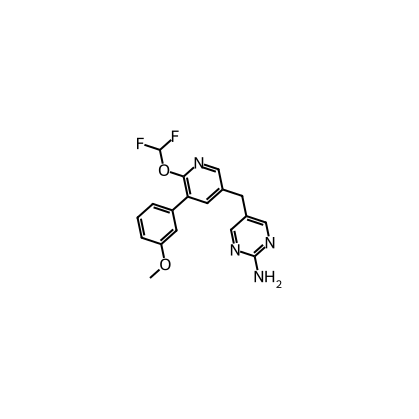 COc1cccc(-c2cc(Cc3cnc(N)nc3)cnc2OC(F)F)c1